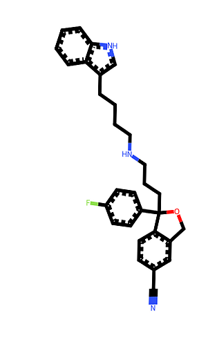 N#Cc1ccc2c(c1)COC2(CCCNCCCCc1c[nH]c2ccccc12)c1ccc(F)cc1